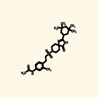 CC(=O)Nc1ccc(CCS(=O)(=O)N2CCC3(CC2)N=C(C2CC(C)(C)CC(C)(C)C2)NC3=O)c(C)c1